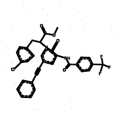 COC(=O)C(Cc1ccc(Cl)cc1)n1cc(C#Cc2ccccc2)cc(NC(=O)c2ccc(C(F)(F)F)cc2)c1=O